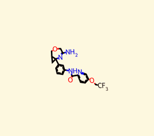 NC1=NC2(c3cccc(NC(=O)c4ccc(OCC(F)(F)F)cn4)c3)CC2COC1